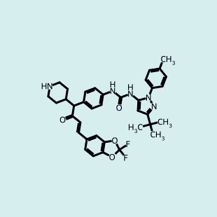 Cc1ccc(-n2nc(C(C)(C)C)cc2NC(=O)Nc2ccc(C(C(=O)C=Cc3ccc4c(c3)OC(F)(F)O4)C3CCNCC3)cc2)cc1